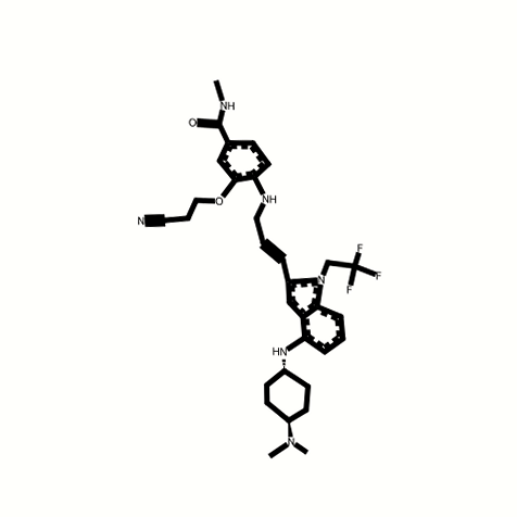 CNC(=O)c1ccc(NCC#Cc2cc3c(N[C@H]4CC[C@H](N(C)C)CC4)cccc3n2CC(F)(F)F)c(OCCC#N)c1